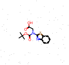 CC(C)(C)OC(=O)N(CC(=O)O)c1nc2ccccc2s1